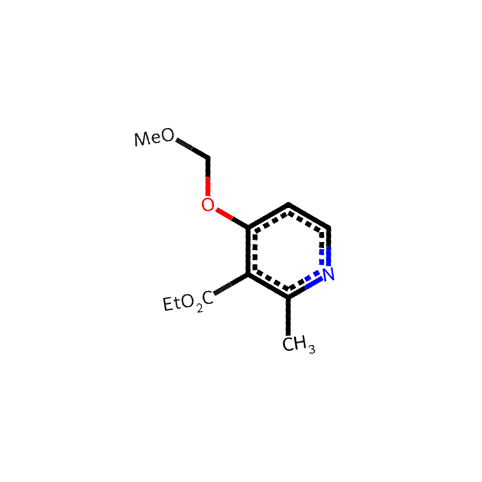 CCOC(=O)c1c(OCOC)ccnc1C